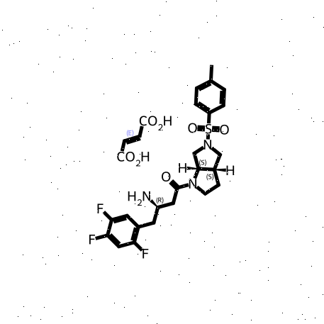 Cc1ccc(S(=O)(=O)N2C[C@@H]3CCN(C(=O)C[C@H](N)Cc4cc(F)c(F)cc4F)[C@@H]3C2)cc1.O=C(O)/C=C/C(=O)O